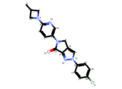 CC1CN(c2ccc(N3Cc4cn(-c5ccc(Cl)cc5)nc4C3=O)cn2)C1